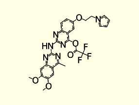 COc1cc2nc(Nc3nc(OC(=O)C(F)(F)F)c4cc(OCCn5cccc5)ccc4n3)nc(C)c2cc1OC